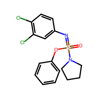 O=S(=Nc1ccc(Cl)c(Cl)c1)(Oc1ccccc1)N1CCCC1